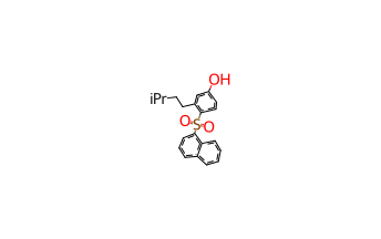 CC(C)CCc1cc(O)ccc1S(=O)(=O)c1cccc2ccccc12